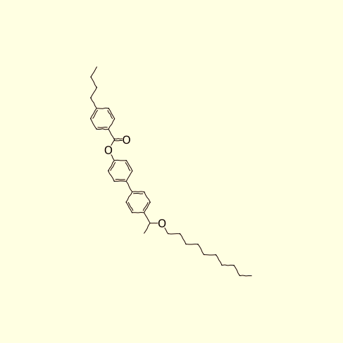 CCCCCCCCCCOC(C)c1ccc(-c2ccc(OC(=O)c3ccc(CCCC)cc3)cc2)cc1